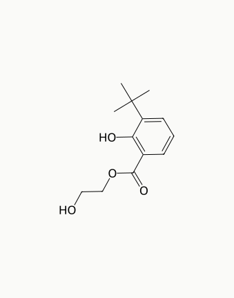 CC(C)(C)c1cccc(C(=O)OCCO)c1O